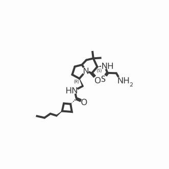 CCCC[C@H]1C[C@H](C(=O)NC[C@H]2CCC3CC(C)(C)[C@H](NC(=S)CN)C(=O)N32)C1